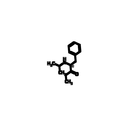 CCC(=O)[C@H](Cc1ccccc1)NC(C)C